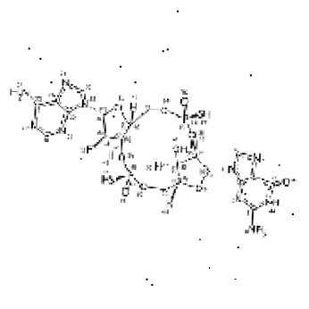 Nc1nc2c(ncn2[C@@H]2O[C@@H]3CO[P@@](=O)(S)O[C@H]4[C@@H](F)[C@H](n5cnc6c(N)ncnc65)O[C@@H]4CO[P@@](=O)(S)O[C@@H]2[C@@H]3O)c(=O)[nH]1